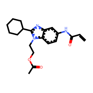 C=CC(=O)Nc1ccc2c(c1)nc(C1CCCCC1)n2CCOC(C)=O